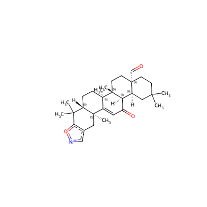 CC1(C)CC[C@]2(C=O)CC[C@]3(C)[C@H](C(=O)C=C4[C@@]5(C)Cc6cnoc6C(C)(C)[C@@H]5CC[C@]43C)[C@@H]2C1